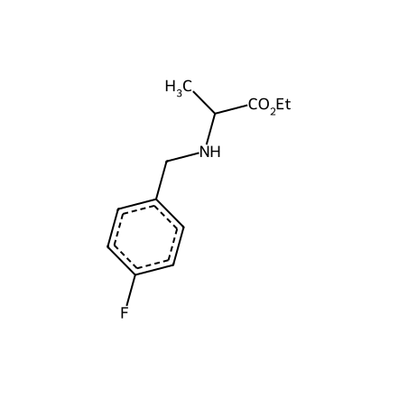 CCOC(=O)C(C)NCc1ccc(F)cc1